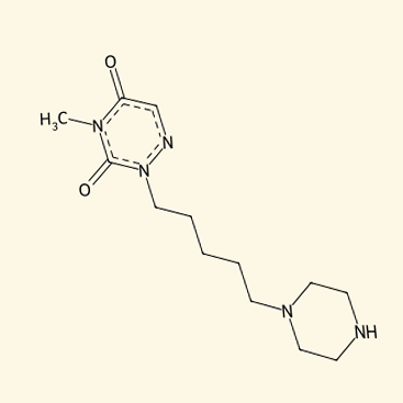 Cn1c(=O)cnn(CCCCCN2CCNCC2)c1=O